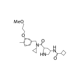 COCCCOc1cc(CN(C(=O)C2CNCC(NC(=O)C3CCC3)C2)C2CC2)ccc1C